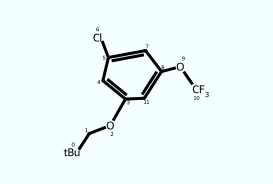 CC(C)(C)COc1cc(Cl)cc(OC(F)(F)F)c1